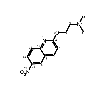 CN(C)CCOc1ccc2cc([N+](=O)[O-])ccc2n1